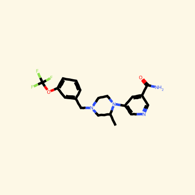 CC1CN(Cc2cccc(OC(F)(F)F)c2)CCN1c1cncc(C(N)=O)c1